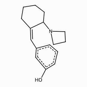 Oc1cccc(/C=C2/CCCCC2N2CCC2)c1